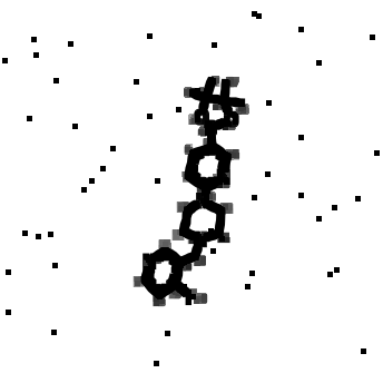 CC1(C)OB(c2ccc(N3CCN(Cc4cnccc4F)CC3)nc2)OC1(C)C